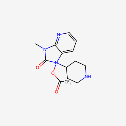 CN1C(=O)[N+](OC(=O)C(F)(F)F)(C2CCNCC2)c2cccnc21